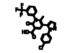 Cc1c(-c2ccnn2-c2ccc(Cl)cc2)cc(C(=O)O)c(=O)n1-c1cccc(C(F)(F)F)c1